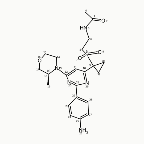 CC(=O)NCCS(=O)(=O)C1(c2cc(N3CCOC[C@@H]3C)nc(-c3ccc(N)cc3)n2)CC1